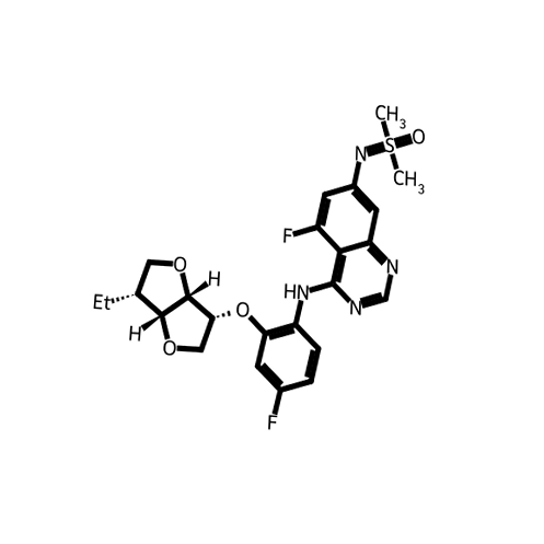 CC[C@@H]1CO[C@H]2[C@@H]1OC[C@H]2Oc1cc(F)ccc1Nc1ncnc2cc(N=S(C)(C)=O)cc(F)c12